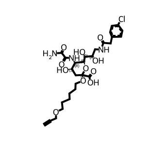 C#CCOCCCCCCO[C@]1(C(=O)O)C[C@H](O)[C@@H](NC(=O)C(N)=O)[C@H]([C@H](O)[C@H](O)CNC(=O)Cc2ccc(Cl)cc2)O1